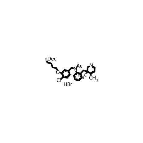 Br.CCCCCCCCCCCCCCOc1cc(CN(C(C)=O)c2ccccc2CC2(C)CN=CC=C2C)ccc1Cl